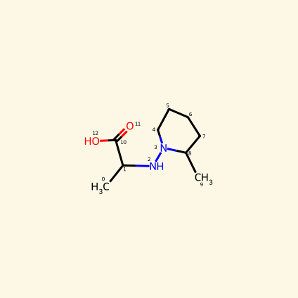 CC(NN1CCCCC1C)C(=O)O